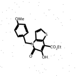 CCOC(=O)c1c(O)c(=O)n(Cc2ccc(OC)cc2)c2ccsc12